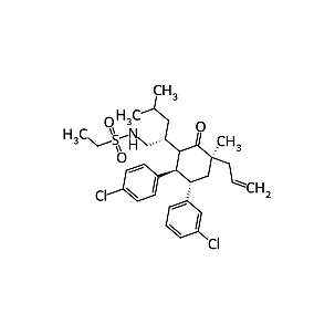 C=CC[C@@]1(C)C[C@H](c2cccc(Cl)c2)[C@@H](c2ccc(Cl)cc2)C([C@H](CNS(=O)(=O)CC)CC(C)C)C1=O